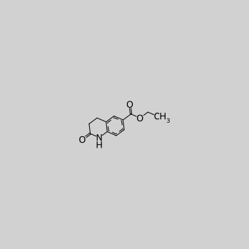 CCOC(=O)c1ccc2c(c1)CCC(=O)N2